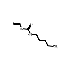 CCCCCNC(=O)N[C]=S